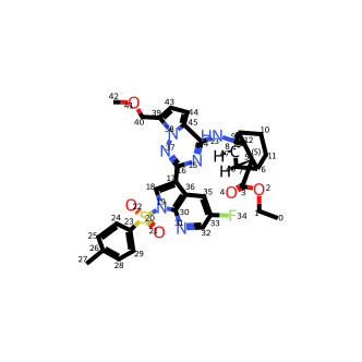 CCOC(=O)[C@H]1C2CCC(CC2)[C@@H]1Nc1nc(-c2cn(S(=O)(=O)c3ccc(C)cc3)c3ncc(F)cc23)nn2c(COC)ccc12